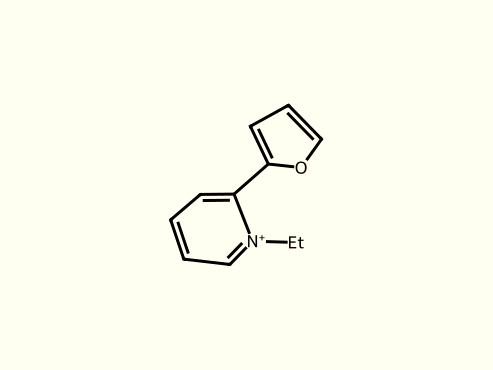 CC[n+]1ccccc1-c1ccco1